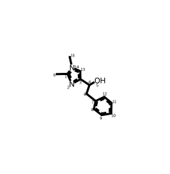 Cc1nc(C(O)Cc2ccccc2)cn1C